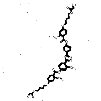 C=CC(=O)OCCCCOc1ccc(C(=O)Oc2ccc(-c3nnc(-c4ccc(OC(=O)c5ccc(OCCCCOC(=O)C=C)cc5C)cc4C)o3)cc2)c(C)c1